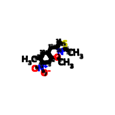 COc1cc([N+](=O)[O-])c(C)cc1Cc1csc(C)n1